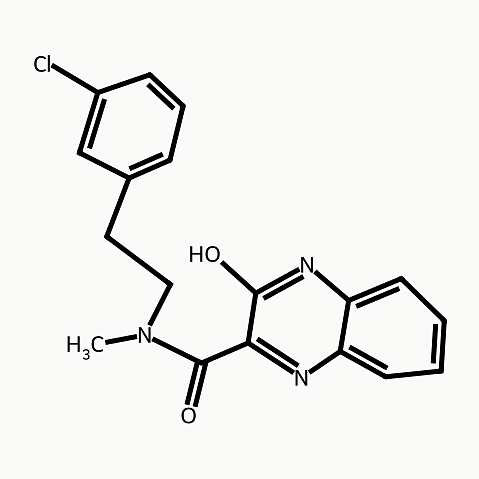 CN(CCc1cccc(Cl)c1)C(=O)c1nc2ccccc2nc1O